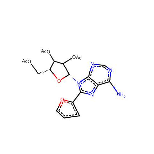 CC(=O)OC[C@H]1O[C@@H](n2c(-c3ccco3)nc3c(N)ncnc32)C(OC(C)=O)C1OC(C)=O